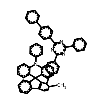 CC1C=CC2=C(C1c1ccc(-c3nc(-c4ccccc4)nc(-c4ccc(-c5ccccc5)cc4)n3)cc1)C1(c3ccccc32)c2ccccc2N(c2ccccc2)c2ccccc21